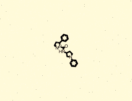 O=C(NC1CCN(c2ccccc2)C1)N1N=CCC1c1ccccc1